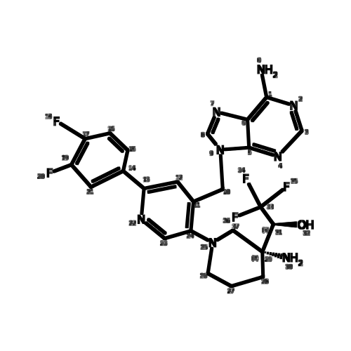 Nc1ncnc2c1ncn2Cc1cc(-c2ccc(F)c(F)c2)ncc1N1CCC[C@](N)([C@H](O)C(F)(F)F)C1